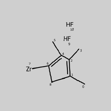 CC1=C(C)C(C)=[C]([Zr])C1.F.F